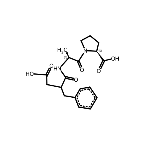 C[C@H](NC(=O)C(CC(=O)O)Cc1ccccc1)C(=O)N1CCC[C@H]1C(=O)O